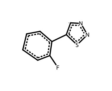 Fc1ccccc1-c1[c]nns1